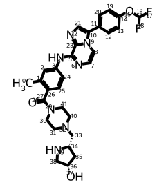 Cc1cc(Nc2nccn3c(-c4ccc(OC(F)F)cc4)cnc23)ccc1C(=O)N1CCN(C[C@@H]2C[C@H](O)CN2)CC1